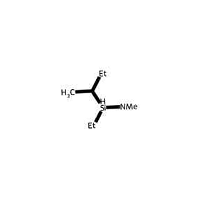 CCC(C)[SiH](CC)NC